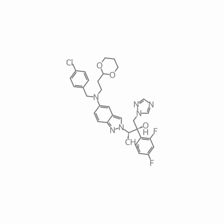 C[C@@H](n1cc2cc(N(CCC3OCCCO3)Cc3ccc(Cl)cc3)ccc2n1)[C@](O)(Cn1cncn1)c1ccc(F)cc1F